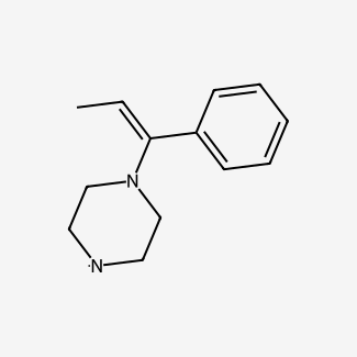 CC=C(c1ccccc1)N1CC[N]CC1